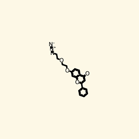 [N-]=[N+]=NCCOCCOc1ccc2c(=O)cc(-c3ccccc3)oc2c1